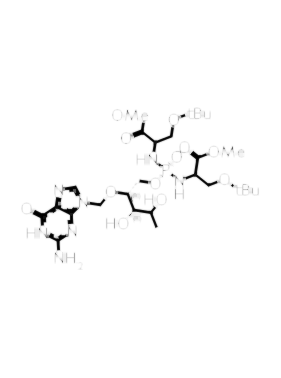 COC(=O)C(COC(C)(C)C)NP(=O)(NC(COC(C)(C)C)C(=O)OC)OC[C@@H](OCn1cnc2c(=O)[nH]c(N)nc21)[C@H](O)C(C)O